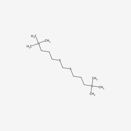 C[Si](C)(C)CCCSCSCCC[Si](C)(C)C